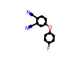 N#Cc1ccc(Oc2ccc(F)cc2)cc1C#N